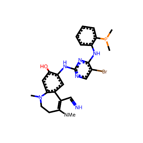 CNC1=C(C=N)c2cc(Nc3ncc(Br)c(Nc4ccccc4P(C)C)n3)c(O)cc2N(C)CC1